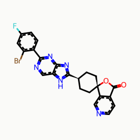 O=C1O[C@]2(CC[C@H](c3nc4nc(-c5ccc(F)cc5Br)ncc4[nH]3)CC2)c2cnccc21